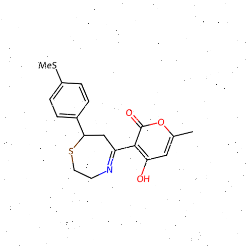 CSc1ccc(C2CC(c3c(O)cc(C)oc3=O)=NCCS2)cc1